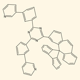 C1=Cc2ccc(-c3nc(-c4cccc(-c5cccnc5)c4)nc(-c4cccc(-c5cccnc5)c4)n3)cc2C2(c3ccccc31)c1ccccc1-c1ccccc12